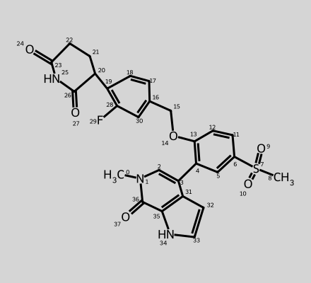 Cn1cc(-c2cc(S(C)(=O)=O)ccc2OCc2ccc(C3CCC(=O)NC3=O)c(F)c2)c2cc[nH]c2c1=O